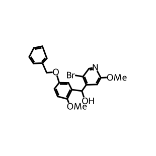 COc1cc(C(O)c2cc(OCc3ccccc3)ccc2OC)c(Br)cn1